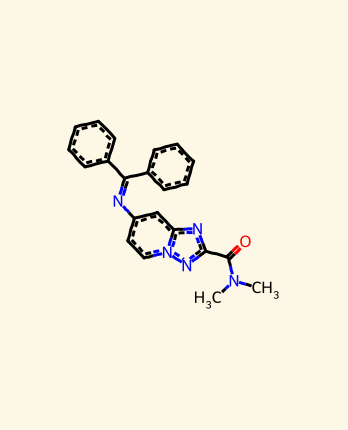 CN(C)C(=O)c1nc2cc(N=C(c3ccccc3)c3ccccc3)ccn2n1